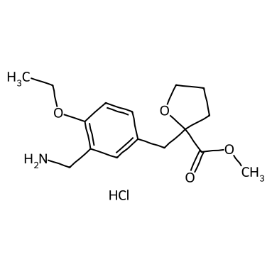 CCOc1ccc(CC2(C(=O)OC)CCCO2)cc1CN.Cl